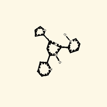 [O-][n+]1ccccc1-c1cc(-c2ccco2)cc(-c2ccccn2)[n+]1[O-]